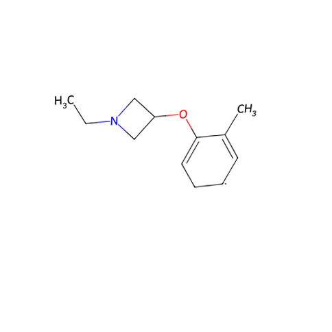 CCN1CC(OC2=CC[CH]C=C2C)C1